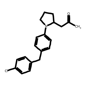 CC(=O)CC1CCCN1c1ccc(Cc2ccc(Cl)cc2)cc1